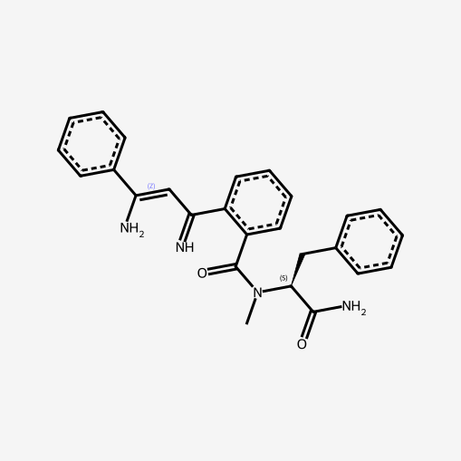 CN(C(=O)c1ccccc1C(=N)/C=C(\N)c1ccccc1)[C@@H](Cc1ccccc1)C(N)=O